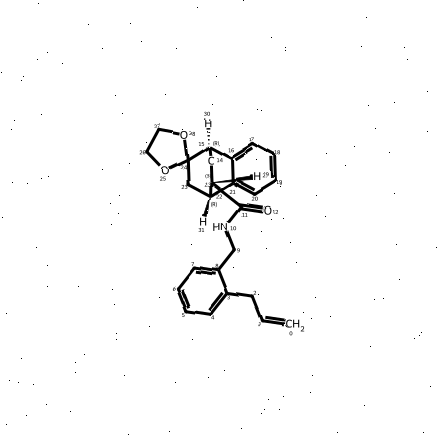 C=CCc1ccccc1CNC(=O)[C@H]1C[C@@H]2c3ccccc3[C@@H]1CC21OCCO1